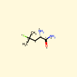 CC(C)(F)C[C@H](N)C(N)=O